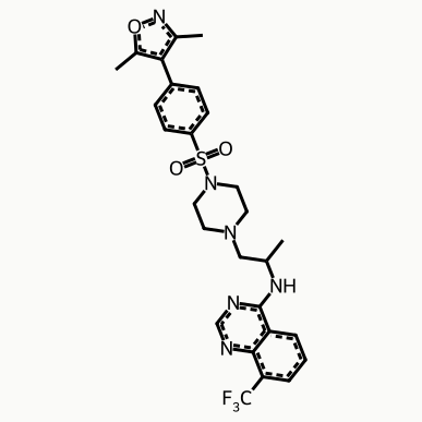 Cc1noc(C)c1-c1ccc(S(=O)(=O)N2CCN(CC(C)Nc3ncnc4c(C(F)(F)F)cccc34)CC2)cc1